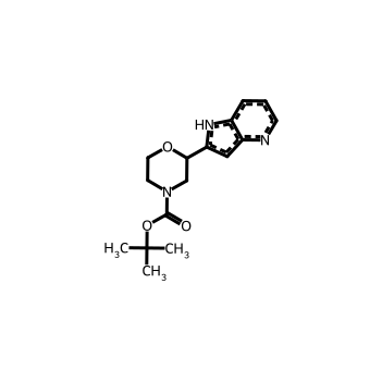 CC(C)(C)OC(=O)N1CCOC(c2cc3ncccc3[nH]2)C1